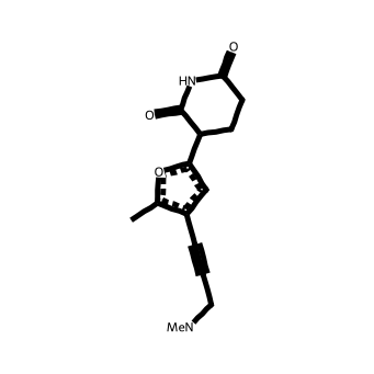 CNCC#Cc1cc(C2CCC(=O)NC2=O)oc1C